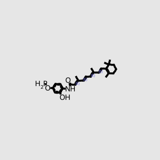 CC1=C(/C=C/C(C)=C/C=C/C(C)=C/C(=O)Nc2ccc(OP)cc2O)C(C)(C)CCC1